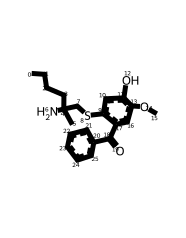 CCCCC(C)(N)CSc1cc(O)c(OC)cc1C(=O)c1ccccc1